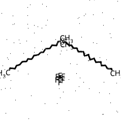 CCCCCCCCCCCCCCCCCC[N+](C)(C)CCCCCCCCCCCCCCCCCC.F[P-](F)(F)(F)(F)F